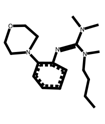 CCCCN(C)C(=Nc1ccccc1N1CCOCC1)N(C)C